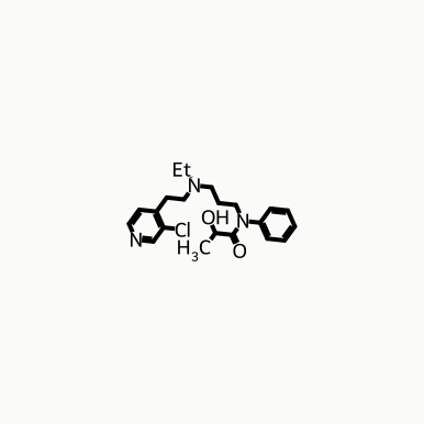 CCN(CCCN(C(=O)C(C)O)c1ccccc1)CCc1ccncc1Cl